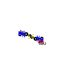 CC(=O)N1CCCC1c1nc2cc(-c3cc4sc(-c5ccc6[nH]c(C7CCCN7C(=O)OC(C)(C)C)nc6c5)cc4s3)ccc2[nH]1